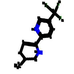 CC1CC=C(c2ccc(C(F)(F)F)cn2)NC1